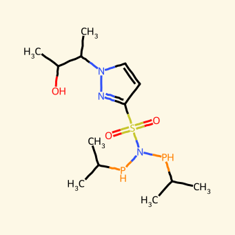 CC(C)PN(PC(C)C)S(=O)(=O)c1ccn(C(C)C(C)O)n1